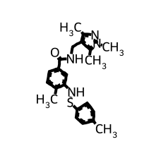 Cc1ccc(SNc2cc(C(=O)NCc3c(C)nn(C)c3C)ccc2C)cc1